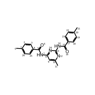 Cc1ccc(C(=O)Nc2cc(C)nc(NC(=O)c3ccc(C)cc3)n2)cc1